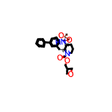 CS(=O)(=O)N[C@@H]1CCCN(C(=O)OCC2COC2)[C@@H]1Cc1cccc(-c2ccccc2)c1